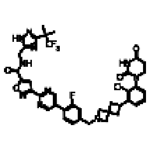 CC(C)(c1n[nH]c(CNC(=O)c2cc(-c3ncc(-c4ccc(CN5CC6(CC(c7cccc(N8CCC(=O)NC8=O)c7Cl)C6)C5)cc4F)cn3)no2)n1)C(F)(F)F